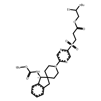 CCCCC(CC)COC(=O)CCS(=O)(=O)c1cnc(N2CCC3(CC2)Cc2ccccc2[C@H]3NC(=O)OC(C)(C)C)cn1